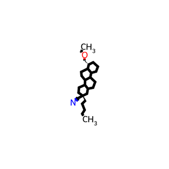 CCCCC[C@@]1(C#N)CCC2C(CCC3C2CCC2C3CCC[C@H]2COCC)C1